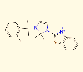 Cc1ccccc1C(C)(C)N1C=CN(c2sc3ccccc3[n+]2C)C1(C)C